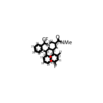 CNC(=O)C1CC(c2ccc(F)cc2C)C(C(c2ccccc2)C(F)(F)F)N(C(c2ccccc2)C(F)(F)F)C1